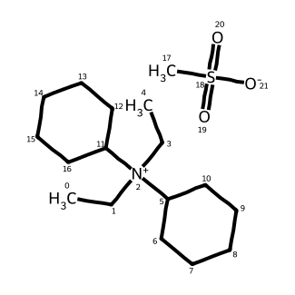 CC[N+](CC)(C1CCCCC1)C1CCCCC1.CS(=O)(=O)[O-]